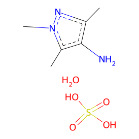 Cc1nn(C)c(C)c1N.O.O=S(=O)(O)O